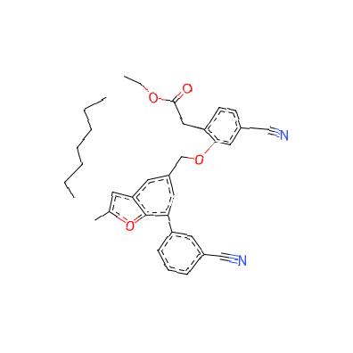 CCCCCCC.CCOC(=O)Cc1ccc(C#N)cc1OCc1cc(-c2cccc(C#N)c2)c2oc(C)cc2c1